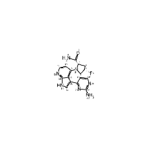 NC(=O)[C@@H]1C[C@H](F)CN1c1ccnc2[nH]cc(-c3ccnc(N)n3)c12